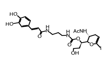 CC(=O)N[C@@H]1CC=C(I)OC1[C@@H](CCO)OC(=O)NCCCNC(=O)/C=C/c1ccc(O)c(O)c1